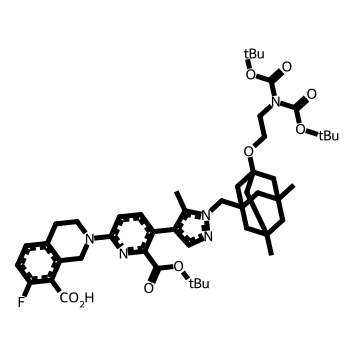 Cc1c(-c2ccc(N3CCc4ccc(F)c(C(=O)O)c4C3)nc2C(=O)OC(C)(C)C)cnn1CC12CC3(C)CC(C)(C1)CC(OCCN(C(=O)OC(C)(C)C)C(=O)OC(C)(C)C)(C3)C2